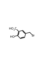 O=C(O)c1cc(CBr)ccc1O